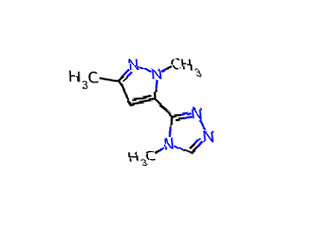 Cc1cc(-c2nncn2C)n(C)n1